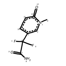 Cn1cc(C(F)(F)C(N)=O)ccc1=O